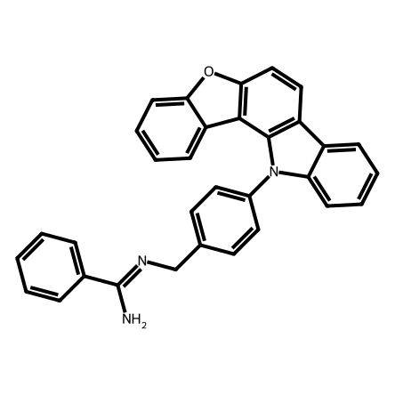 N/C(=N\Cc1ccc(-n2c3ccccc3c3ccc4oc5ccccc5c4c32)cc1)c1ccccc1